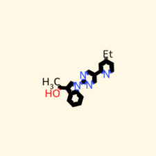 CCc1ccnc(-c2cnc(-n3cc(C(C)O)c4ccccc43)nc2)c1